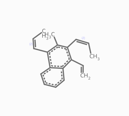 C=Cc1c(/C=C\C)c(C)c(/C=C\C)c2ccccc12